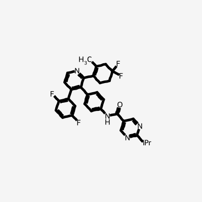 CC1=C(c2nccc(-c3cc(F)ccc3F)c2-c2ccc(NC(=O)c3cnc(C(C)C)nc3)cc2)CCC(F)(F)C1